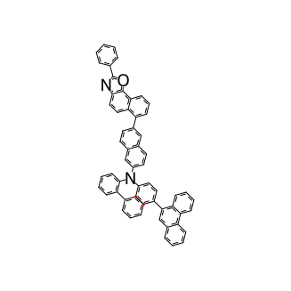 c1ccc(-c2nc3ccc4c(-c5ccc6cc(N(c7ccc(-c8cc9ccccc9c9ccccc89)cc7)c7ccccc7-c7ccccc7)ccc6c5)cccc4c3o2)cc1